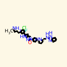 C[C@H](N)CCCc1cc(Cl)c(F)c(-c2cc3cn(-c4ccc([C@H]5CCC[C@H](CCNc6nc7ccccc7[nH]6)N5)cc4)c(=O)nc3[nH]2)c1